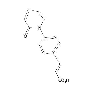 O=C(O)C=Cc1ccc(-n2ccccc2=O)cc1